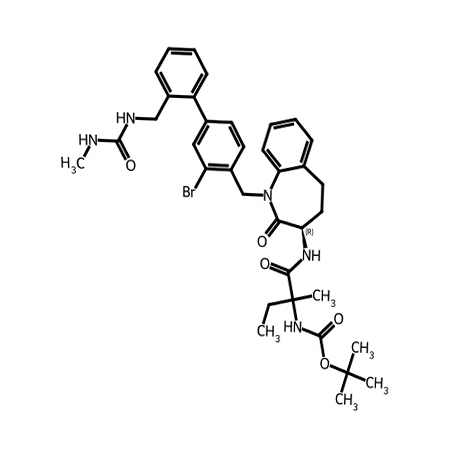 CCC(C)(NC(=O)OC(C)(C)C)C(=O)N[C@@H]1CCc2ccccc2N(Cc2ccc(-c3ccccc3CNC(=O)NC)cc2Br)C1=O